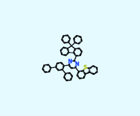 c1ccc(-c2ccc(-c3cc(-c4cccc5c4sc4ccccc45)nc(-c4cccc5c4-c4ccccc4C5(c4ccccc4)c4ccccc4)n3)c(-c3ccccc3)c2)cc1